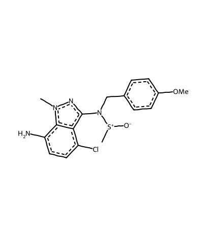 COc1ccc(CN(c2nn(C)c3c(N)ccc(Cl)c23)[S+](C)[O-])cc1